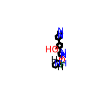 Oc1cc(-c2ccc3cncn3c2)ccc1-c1ccc(O[C@H]2C[C@@H]3CCC[C@@H](N3)[C@H]2F)nn1